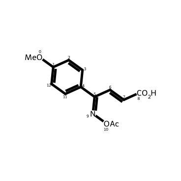 COc1ccc(C(/C=C/C(=O)O)=N/OC(C)=O)cc1